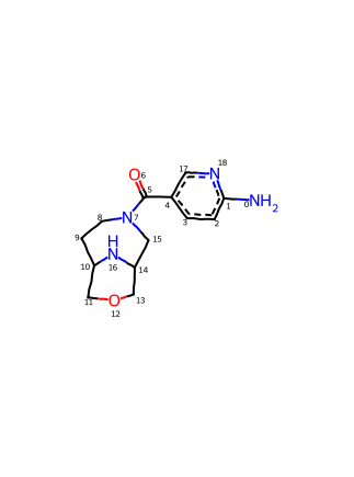 Nc1ccc(C(=O)N2CCC3COCC(C2)N3)cn1